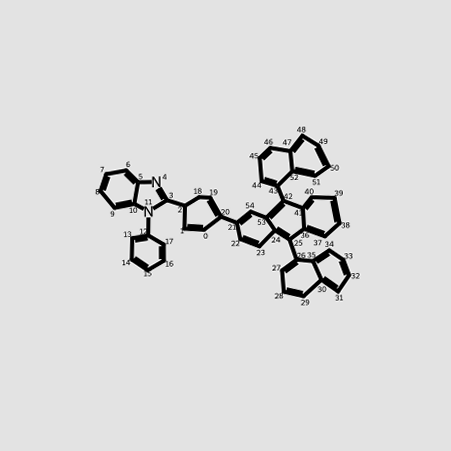 C1=CC(c2nc3ccccc3n2-c2ccccc2)CC=C1c1ccc2c(-c3cccc4ccccc34)c3ccccc3c(-c3cccc4ccccc34)c2c1